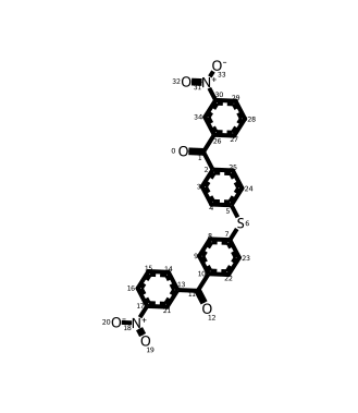 O=C(c1ccc(Sc2ccc(C(=O)c3cccc([N+](=O)[O-])c3)cc2)cc1)c1cccc([N+](=O)[O-])c1